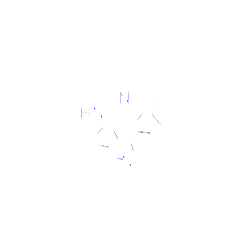 Clc1ccccc1CN1CCC[C@@H](Nc2ccc3cnccc3c2)C1